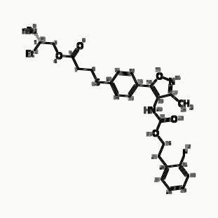 CCCC[C@@H](CC)COC(=O)CCSc1ccc(-c2onc(C)c2NC(=O)OCCc2ccccc2F)cc1